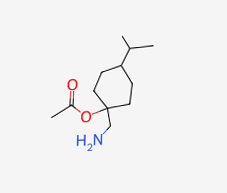 CC(=O)OC1(CN)CCC(C(C)C)CC1